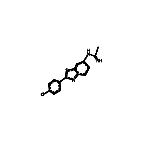 CC(=N)Nc1ccc2nc(-c3ccc(Cl)cc3)sc2c1